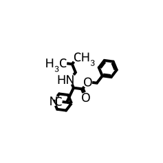 CC(C)CNC(C(=O)OCc1ccccc1)C1CN2CCC1CC2